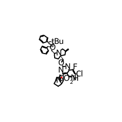 C=C1CN2[C@H](CO[Si](c3ccccc3)(c3ccccc3)C(C)(C)C)CC[C@@]2(COc2nc(N3CC4CCC(C3)N4C(=O)O)c3cnc(Cl)c(F)c3n2)C1